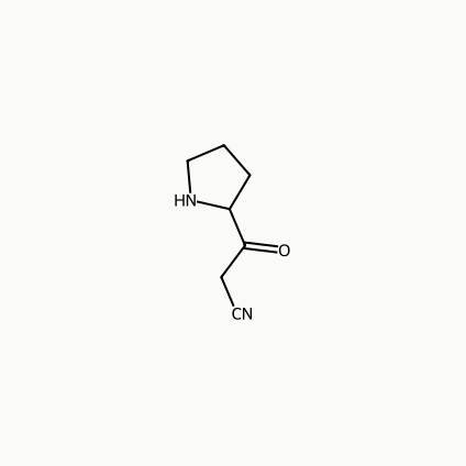 N#CCC(=O)C1CCCN1